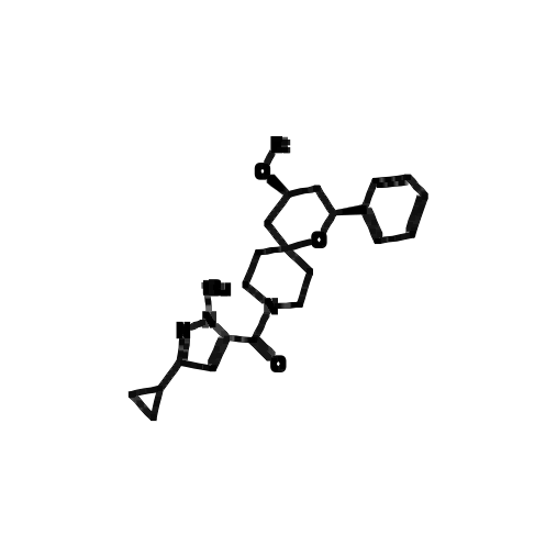 CCO[C@H]1C[C@@H](c2ccccc2)OC2(CCN(C(=O)c3cc(C4CC4)nn3C(C)(C)C)CC2)C1